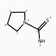 [NH]C(=S)N1CCCC1